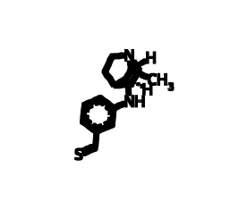 C[C@@H]1[C@@H](Nc2cccc(C=S)c2)C2CCN1CC2